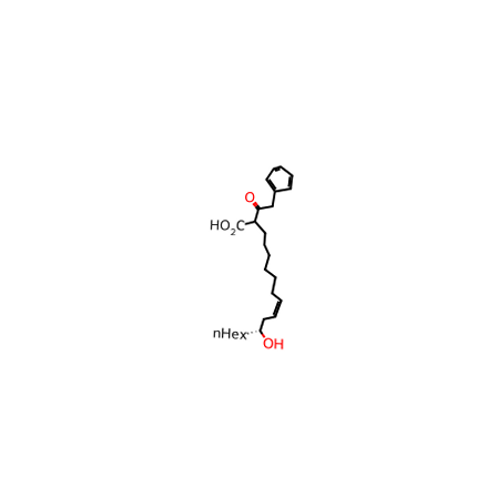 CCCCCC[C@@H](O)C/C=C\CCCCCCC(C(=O)O)C(=O)Cc1ccccc1